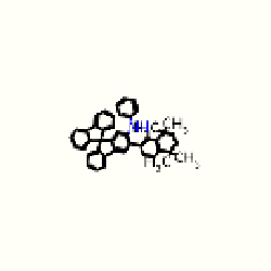 CC1(C)CCC(C)(C)c2cc(-c3cc4c(cc3Nc3ccccc3)C3(c5ccccc5-c5ccccc53)c3ccccc3-4)ccc21